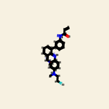 C=CC(=O)Nc1cccc(C2=CC=CC(=C/N=C)/C2=N\c2ccc(N(C)CCF)cc2)c1